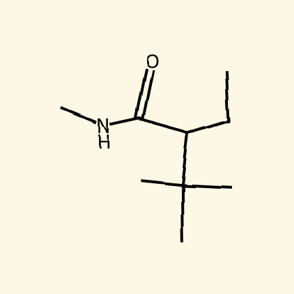 CCC(C(=O)NC)C(C)(C)C